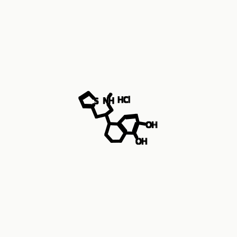 CNCC(Cc1cccs1)C1CCCc2c1ccc(O)c2O.Cl